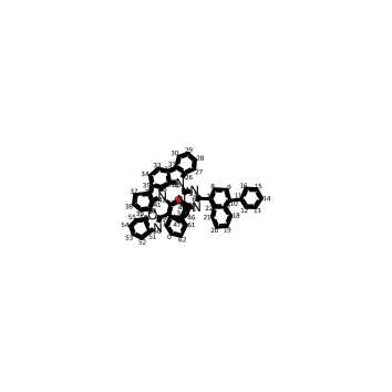 c1ccc(-c2nc(-c3ccc(-c4ccccc4)c4ccccc34)nc(-n3c4ccccc4c4ccc5c6ccccc6n(-c6ccccc6-c6nc7ccccc7o6)c5c43)n2)cc1